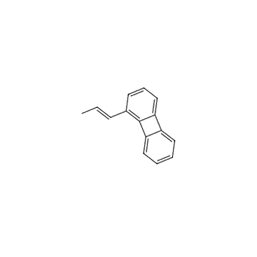 CC=Cc1cccc2c1-c1ccccc1-2